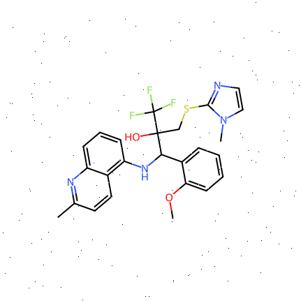 COc1ccccc1C(Nc1cccc2nc(C)ccc12)C(O)(CSc1nccn1C)C(F)(F)F